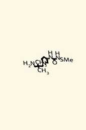 CSNC(=O)N[C@@H]1CCN(CC(C)(C)CN)C1